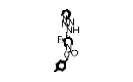 Cc1ccc(COC(=O)N2CC[C@H](CNc3nc4ccccn4n3)[C@H](F)C2)cc1